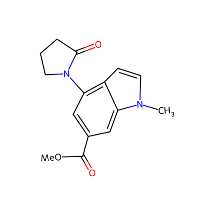 COC(=O)c1cc(N2CCCC2=O)c2ccn(C)c2c1